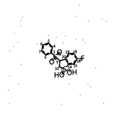 O=S(=O)(c1ccccc1)C1CS(O)(O)c2cc(F)ccc21